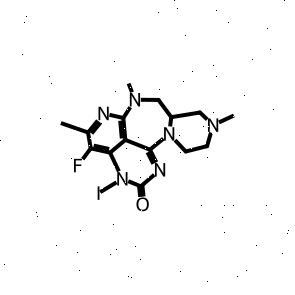 Cc1nc2c3c(nc(=O)n(I)c3c1F)N1CCN(C)CC1CN2C